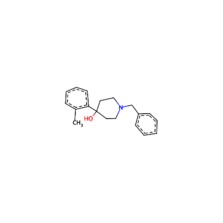 Cc1ccccc1C1(O)CCN(Cc2ccccc2)CC1